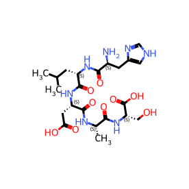 CC(C)C[C@H](NC(=O)[C@@H](N)Cc1c[nH]cn1)C(=O)N[C@@H](CC(=O)O)C(=O)N[C@@H](C)C(=O)N[C@@H](CO)C(=O)O